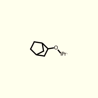 C[C](C)OC1CC2CCC1C2